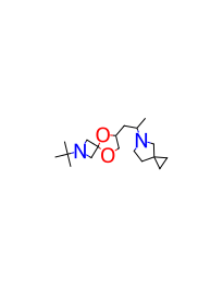 CC(CC1COC2(CN(C(C)(C)C)C2)O1)N1CCC2(CC2)C1